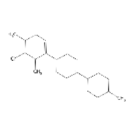 CC1CCC(C2=CCC(C3=CCC(C)C(Cl)C3C)CC2)CC1